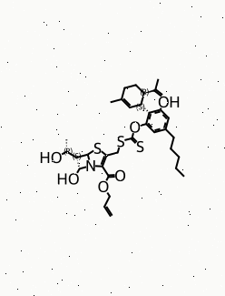 C=CCOC(=O)C1=C(CSC(=S)Oc2cc(CCCCC)cc(O)c2[C@@H]2C=C(C)CC[C@H]2C(=C)C)SC2[C@@H]([C@@H](C)O)C(O)N12